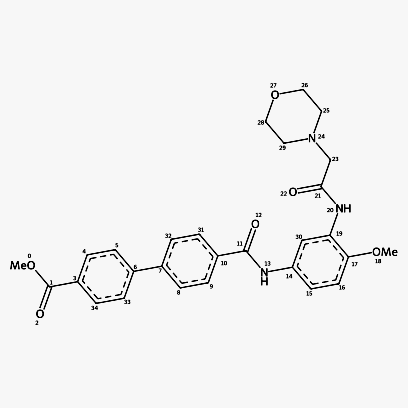 COC(=O)c1ccc(-c2ccc(C(=O)Nc3ccc(OC)c(NC(=O)CN4CCOCC4)c3)cc2)cc1